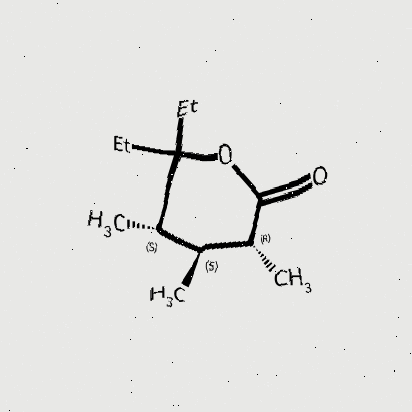 CCC1(CC)OC(=O)[C@H](C)[C@@H](C)[C@@H]1C